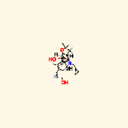 CC1=C(/C=C\CO)C[C@H]2N(CC3CC3)CC[C@@]13[C@@H](O)C14CC[C@@]23C[C@@H]1C(C)(C)C(C)(C)O4